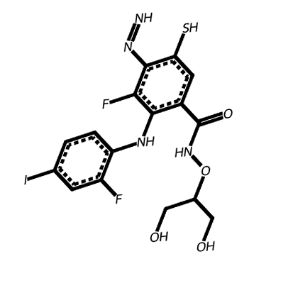 N=Nc1c(S)cc(C(=O)NOC(CO)CO)c(Nc2ccc(I)cc2F)c1F